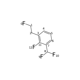 FCCc1cccc(C(F)F)c1F